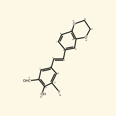 O=Cc1cc(/C=C/c2ccc3c(c2)OCCO3)cc(F)c1O